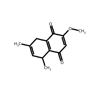 COC1=CC(=O)C2=C(CC(C)=CC2C)C1=O